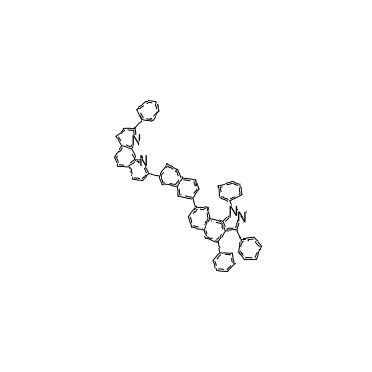 c1ccc(-c2ccc3ccc4ccc(-c5ccc6ccc(-c7ccc8cc(-c9ccccc9)c9c(-c%10ccccc%10)nn(-c%10ccccc%10)c9c8c7)cc6c5)nc4c3n2)cc1